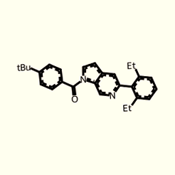 CCc1cccc(CC)c1-c1cc2ccn(C(=O)c3ccc(C(C)(C)C)cc3)c2cn1